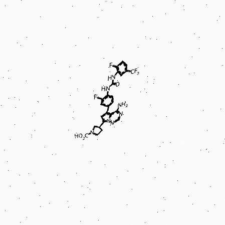 Nc1ncnn2c(C3CCN(C(=O)O)C3)cc(-c3ccc(NC(=O)Nc4cc(C(F)(F)F)ccc4F)c(F)c3)c12